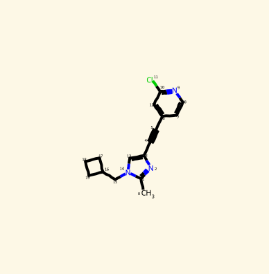 Cc1nc(C#Cc2ccnc(Cl)c2)cn1CC1CCC1